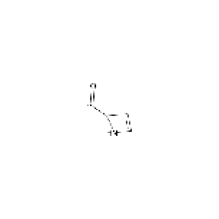 O=[C]C1C=CN1